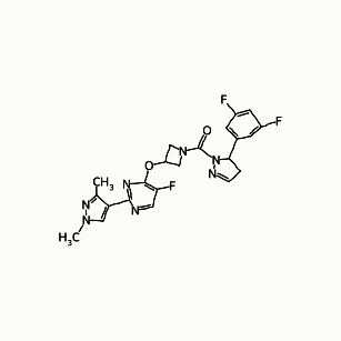 Cc1nn(C)cc1-c1ncc(F)c(OC2CN(C(=O)N3N=CCC3c3cc(F)cc(F)c3)C2)n1